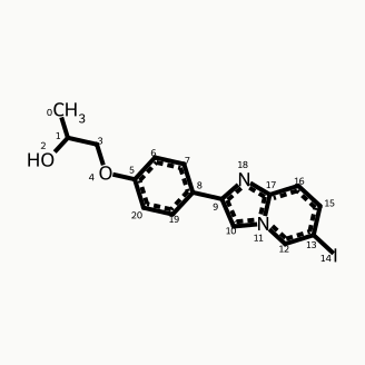 CC(O)COc1ccc(-c2cn3cc(I)ccc3n2)cc1